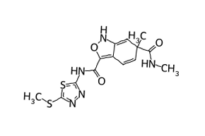 CNC(=O)C1(C)C=CC2=C(C(=O)Nc3nnc(SC)s3)ONC2=C1